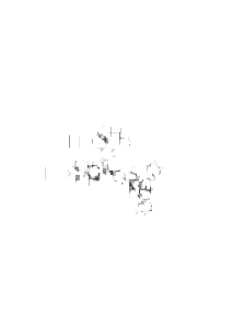 CC(C)(C)c1ccc2c(c1)c1cc(C(C)(C)C)ccc1n2-c1ccc2c(c1)sc1c(-c3ccccc3)nc(-c3ccccc3)nc12